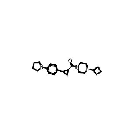 O=C([C@H]1CC1c1ccc(N2CCCC2)cc1)N1CCN(C2CCC2)CC1